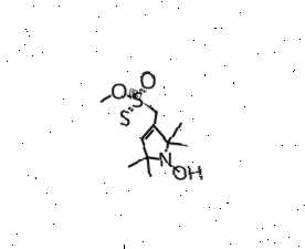 CO[S@](=O)(=S)CC1=CC(C)(C)N(O)C1(C)C